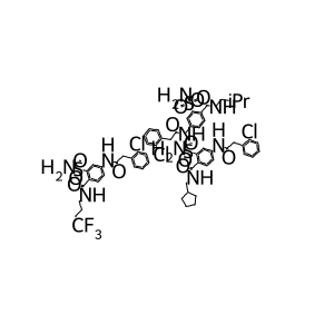 CC(C)CNC(=O)c1ccc(NC(=O)Cc2ccccc2Cl)cc1S(N)(=O)=O.NS(=O)(=O)c1cc(NC(=O)Cc2ccccc2Cl)ccc1C(=O)NCC1CCCC1.NS(=O)(=O)c1cc(NC(=O)Cc2ccccc2Cl)ccc1C(=O)NCCCC(F)(F)F